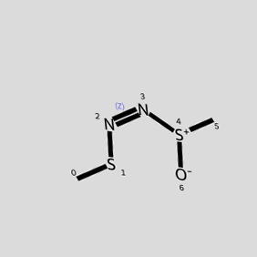 CS/N=N\[S+](C)[O-]